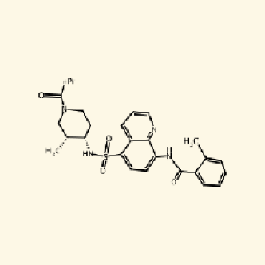 CCCC(=O)N1CC[C@H](NS(=O)(=O)c2ccc(NC(=O)c3ccccc3C)c3ncccc23)[C@H](C)C1